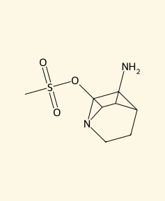 CS(=O)(=O)OC1C(N)C2CCN1CC2